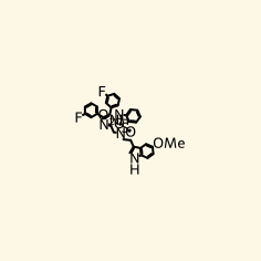 COc1ccc2[nH]cc(CCN(Cc3nc(-c4cccc(F)c4)c(-c4cccc(F)c4)[nH]3)S(=O)(=O)c3ccccc3[N+](=O)[O-])c2c1